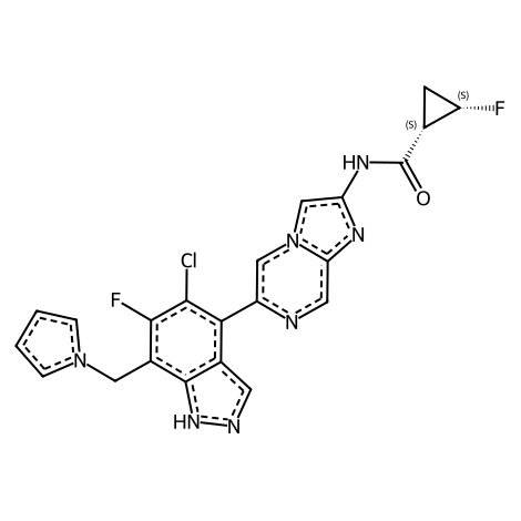 O=C(Nc1cn2cc(-c3c(Cl)c(F)c(Cn4cccc4)c4[nH]ncc34)ncc2n1)[C@@H]1C[C@@H]1F